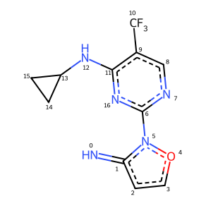 N=c1ccon1-c1ncc(C(F)(F)F)c(NC2CC2)n1